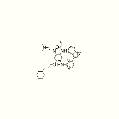 C=CC(=O)Nc1cc(Nc2nccc(-c3cn(C)c4ccccc34)n2)c(OCCCC2CCCCC2)cc1N(C)CCN(C)C